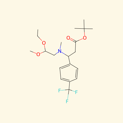 CCOC(CN(C)C(CC(=O)OC(C)(C)C)c1ccc(C(F)(F)F)cc1)OC